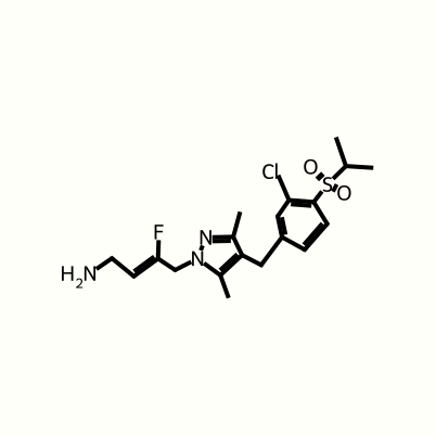 Cc1nn(C/C(F)=C/CN)c(C)c1Cc1ccc(S(=O)(=O)C(C)C)c(Cl)c1